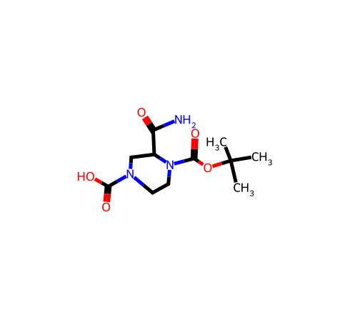 CC(C)(C)OC(=O)N1CCN(C(=O)O)CC1C(N)=O